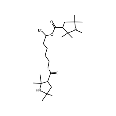 CCC(CCCCOC(=O)C1CC(C)(C)NC1(C)C)OC(=O)C1CC(C)(C)N(C)C1(C)C